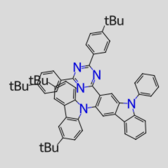 CC(C)(C)c1ccc(-c2nc(-c3ccc(C(C)(C)C)cc3)nc(-c3cc4c(cc3-n3c5ccc(C(C)(C)C)cc5c5cc(C(C)(C)C)ccc53)c3ccccc3n4-c3ccccc3)n2)cc1